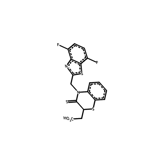 O=C(O)CC1Sc2ccccc2N(Cc2nc3c(F)ccc(F)c3s2)C1=S